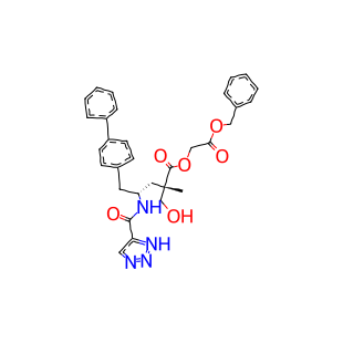 C[C@@](CO)(C[C@@H](Cc1ccc(-c2ccccc2)cc1)NC(=O)c1cnn[nH]1)C(=O)OCC(=O)OCc1ccccc1